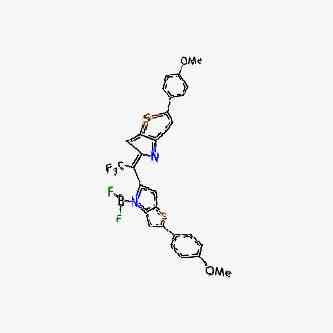 COc1ccc(-c2cc3c(s2)=C/C(=C(/c2cc4sc(-c5ccc(OC)cc5)cc4n2B(F)F)C(F)(F)F)N=3)cc1